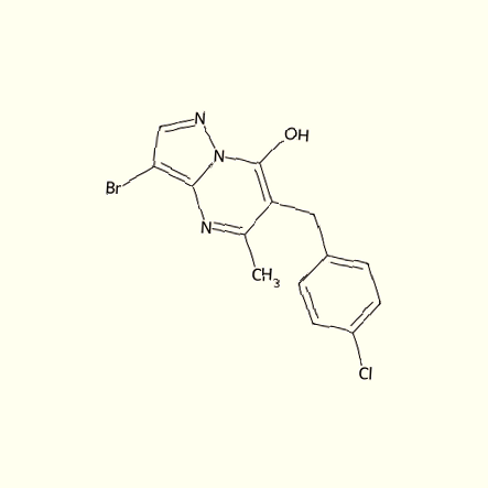 Cc1nc2c(Br)cnn2c(O)c1Cc1ccc(Cl)cc1